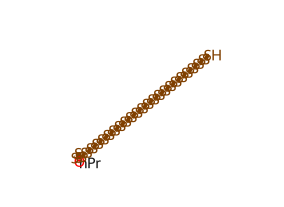 CCCOS(=S)(=S)SSSSSSSSSSSSSSSSSSSSSSSSSSSSSSSSSSSSSSSSSSSSSS